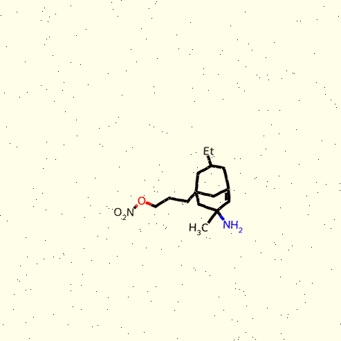 CCC1CC2=CC(C)(N)CC(CCCO[N+](=O)[O-])(C2)C1